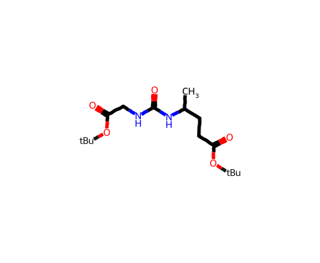 CC(CCC(=O)OC(C)(C)C)NC(=O)NCC(=O)OC(C)(C)C